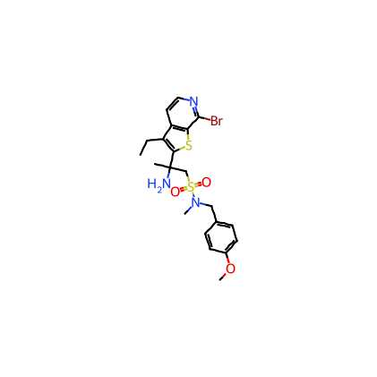 CCc1c(C(C)(N)CS(=O)(=O)N(C)Cc2ccc(OC)cc2)sc2c(Br)nccc12